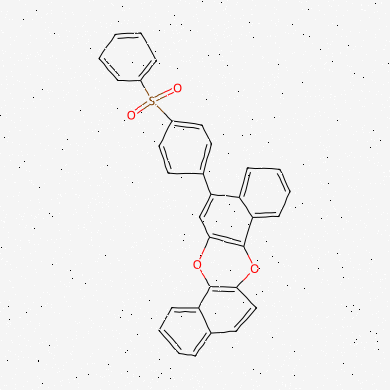 O=S(=O)(c1ccccc1)c1ccc(-c2cc3c(c4ccccc24)Oc2ccc4ccccc4c2O3)cc1